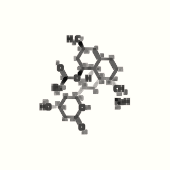 CC[C@H](C)C(=O)O[C@H]1C[C@@H](C)C=C2C=C[C@H](C)[C@H](CC[C@H]3C[C@@H](O)CC(=O)O3)[C@H]21.[NaH]